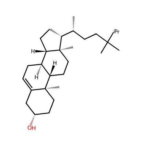 CC(C)C(C)(C)CC[C@@H](C)[C@H]1CC[C@H]2[C@@H]3CC=C4C[C@@H](O)CC[C@]4(C)[C@H]3CC[C@]12C